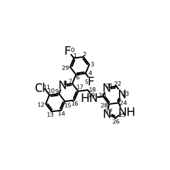 Fc1ccc(F)c(-c2nc3c(Cl)cccc3cc2CNc2ncnc3[nH]cnc23)c1